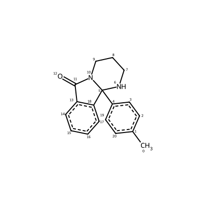 Cc1ccc(C23NCCCN2C(=O)c2ccccc23)cc1